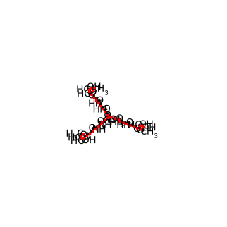 CC1OC(OCCCCC(=O)NCCCNC(=O)CCOCC(C)(COCCC(=O)NCCCNC(=O)CCCCOC2OC(C)C(O)C(O)C2O)COCCC(=O)NCCCNC(=O)CCCCOC2OC(C)C(O)C(O)C2O)C(O)C(O)C1O